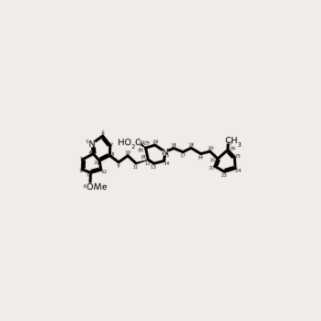 COc1ccc2nccc(CCC[C@@H]3CCN(CCCCCc4ccccc4C)C[C@@H]3C(=O)O)c2c1